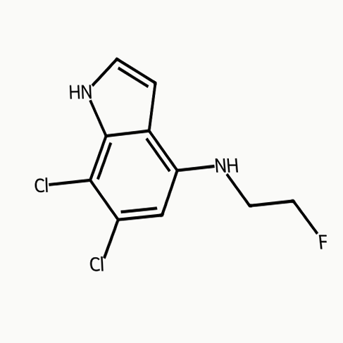 FCCNc1cc(Cl)c(Cl)c2[nH]ccc12